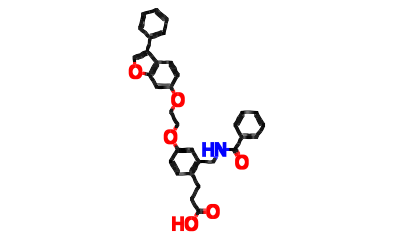 O=C(O)CCc1ccc(OCCOc2ccc3c(-c4ccccc4)coc3c2)cc1CNC(=O)c1ccccc1